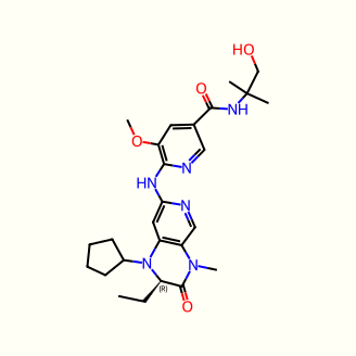 CC[C@@H]1C(=O)N(C)c2cnc(Nc3ncc(C(=O)NC(C)(C)CO)cc3OC)cc2N1C1CCCC1